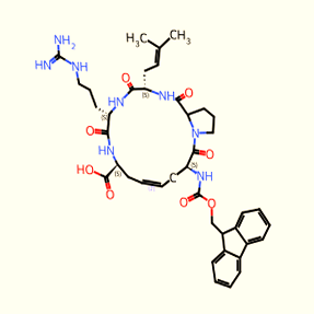 CC(C)=CC[C@@H]1NC(=O)C2CCCN2C(=O)[C@@H](NC(=O)OCC2c3ccccc3-c3ccccc32)C/C=C\C[C@@H](C(=O)O)NC(=O)[C@H](CCCNC(=N)N)NC1=O